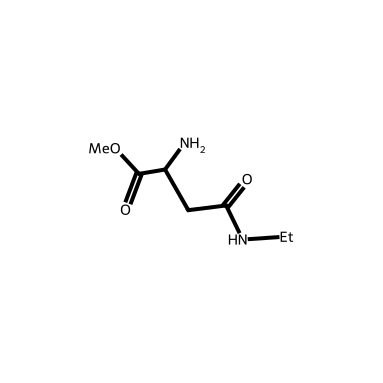 CCNC(=O)CC(N)C(=O)OC